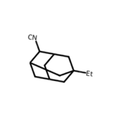 [C-]#[N+]C1C2CC3CC1CC(CC)(C3)C2